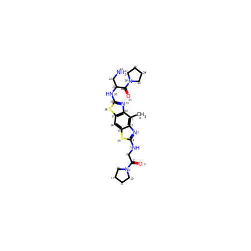 Cc1c2nc(NCC(=O)N3CCCC3)sc2cc2sc(NC(CN)C(=O)N3CCCC3)nc12